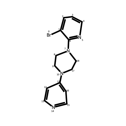 Brc1cccnc1N1CCN(c2ccncc2)CC1